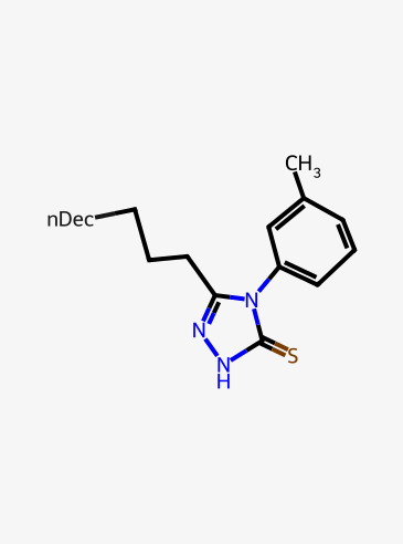 CCCCCCCCCCCCCc1n[nH]c(=S)n1-c1cccc(C)c1